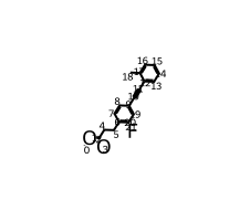 COC(=O)CCc1ccc(C#Cc2ccccc2C)cc1F